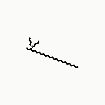 CCCCCCCCCCCCCCCCCCCCCCC(CC)N(CCCC)CCCC